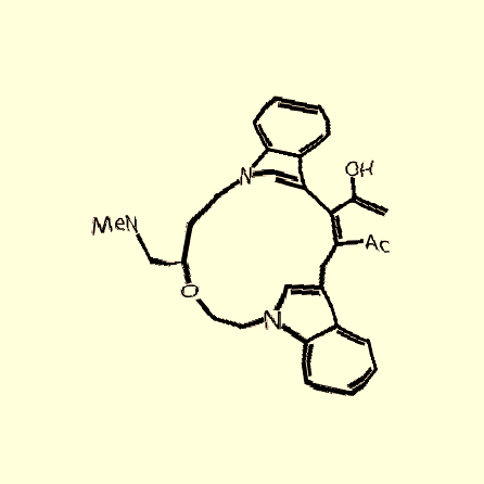 C=C(O)/C1=C(\C(C)=O)c2cn(c3ccccc23)CCO[C@@H](CNC)CCn2cc1c1ccccc12